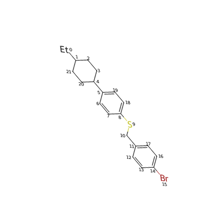 CCC1CCC(c2ccc(SCc3ccc(Br)cc3)cc2)CC1